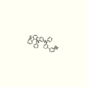 Brc1cccc(C2=CC(N(c3ccccc3)c3ccc4c5ccc6sc7ccccc7c6c5n(-c5ccccc5)c4c3)=CCC2)c1